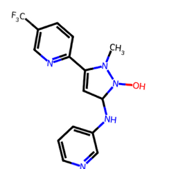 CN1C(c2ccc(C(F)(F)F)cn2)=CC(Nc2cccnc2)N1O